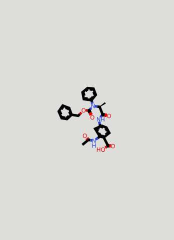 CC(=O)Nc1cc(NC(=O)[C@H](C)N(C(=O)OCc2ccccc2)c2ccccc2)ccc1C(=O)O